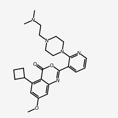 COc1cc(C2CCC2)c2c(=O)oc(-c3cccnc3N3CCN(CCN(C)C)CC3)nc2c1